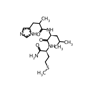 CSCC[C@H](NC(=O)[C@H](CC(C)C)NC(=O)C(C)Cc1cnc[nH]1)C(N)=O